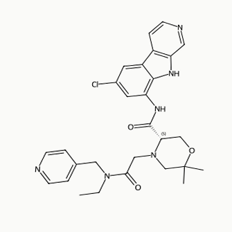 CCN(Cc1ccncc1)C(=O)CN1CC(C)(C)OC[C@H]1C(=O)Nc1cc(Cl)cc2c1[nH]c1cnccc12